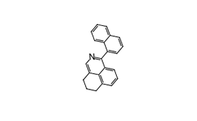 c1ccc2c(-c3ncc4c5c(cccc35)CCC4)cccc2c1